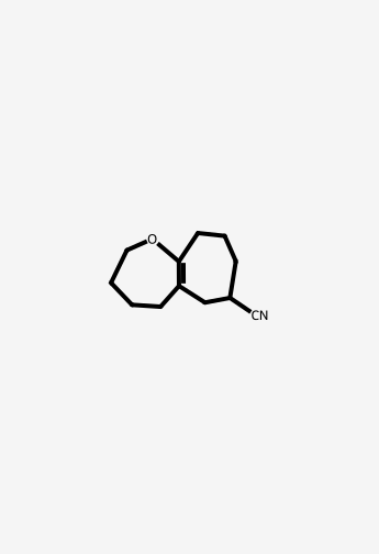 N#CC1CCCC2=C(CCCCO2)C1